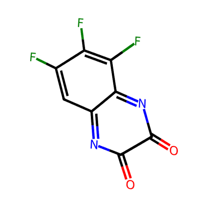 O=C1N=c2cc(F)c(F)c(F)c2=NC1=O